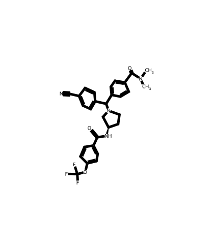 CN(C)C(=O)c1ccc(C(c2ccc(C#N)cc2)N2CC[C@@H](NC(=O)c3ccc(OC(F)(F)F)cc3)C2)cc1